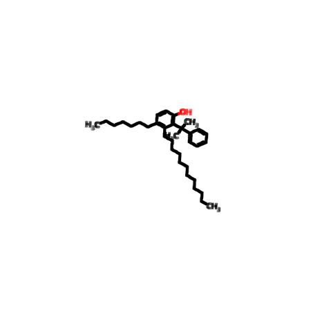 CCCCCCCCCCCCc1c(CCCCCCC)ccc(O)c1C(C)(C)c1ccccc1